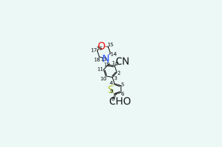 N#Cc1cc(-c2ccc(C=O)s2)ccc1N1CCOCC1